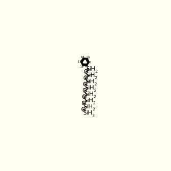 [SiH3]O[SiH2]O[SiH2]O[SiH2]O[SiH2]O[SiH2]O[SiH2]O[SiH2]c1ccccc1